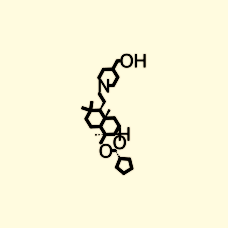 CC1(C)CCC2[C@]3(C)CO[C@@H](C4CCCC4)O[C@@H]3CC[C@@]2(C)[C@@H]1CCN1CCC(CO)CC1